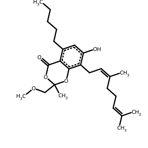 CCCCCc1cc(O)c(CC=C(C)CCC=C(C)C)c2c1C(=O)OC(C)(COC)O2